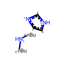 CCCCNCCCC.c1c[nH]cn1